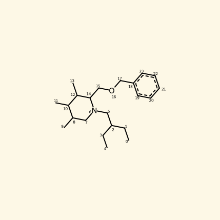 CCC(CC)CN1CC(C)C(C)C(C)C1COCc1ccccc1